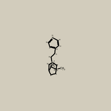 CC1(C)C2CC[C@@]1(C)CN(CCc1ccncc1)C2